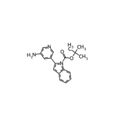 CC(C)(C)OC(=O)n1c(-c2cncc(N)c2)cc2ccccc21